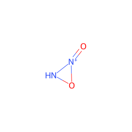 O=[N+]1NO1